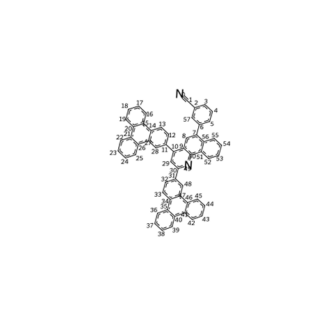 N#Cc1cccc(-c2cc3c(-c4ccc5c6ccccc6c6ccccc6c5c4)cc(-c4ccc5c6ccccc6c6ccccc6c5c4)nc3c3ccccc23)c1